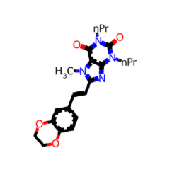 CCCn1c(=O)c2c(nc(C=Cc3ccc4c(c3)OCCO4)n2C)n(CCC)c1=O